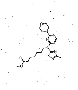 COC(=O)CCCCCCN(c1ccnc(N2CCOCC2)n1)c1nc(C)ns1